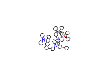 c1ccc(-c2cccc(N3c4ccc(-c5ccccc5)cc4B4c5ccc([Si](c6ccccc6)(c6ccccc6)c6ccccc6)cc5N(c5cccc([Si](c6ccccc6)(c6ccccc6)c6ccccc6)c5)c5cc(-c6c7ccccc7c(N(c7ccccc7)c7ccccc7)c7ccccc67)cc3c54)c2)cc1